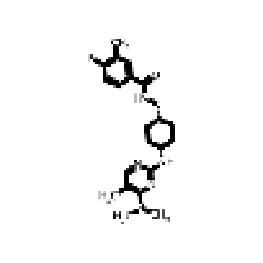 Cc1cc(C(=O)NC[C@H]2CC[C@@H](Nc3ncc(C)c(N(C)C)n3)CC2)ccc1F